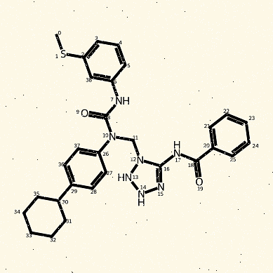 CSc1cccc(NC(=O)N(CN2NNN=C2NC(=O)c2ccccc2)c2ccc(C3CCCCC3)cc2)c1